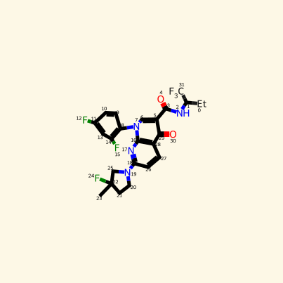 CCC(NC(=O)c1cn(-c2ccc(F)cc2F)c2nc(N3CCC(C)(F)C3)ccc2c1=O)C(F)(F)F